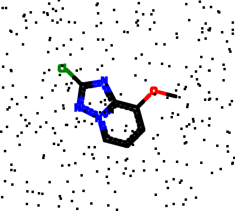 COc1cccn2nc(Cl)nc12